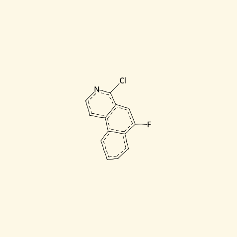 Fc1cc2c(Cl)nccc2c2ccccc12